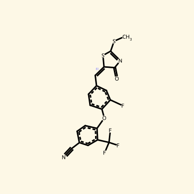 CSC1=NC(=O)/C(=C\c2ccc(Oc3ccc(C#N)cc3C(F)(F)F)c(F)c2)S1